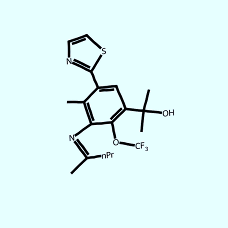 CCC/C(C)=N\c1c(C)c(-c2nccs2)cc(C(C)(C)O)c1OC(F)(F)F